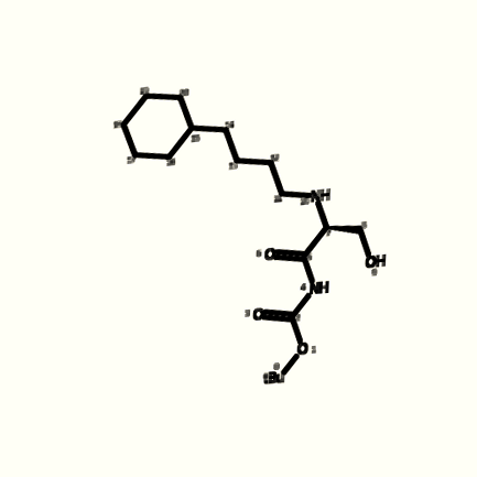 CC(C)(C)OC(=O)NC(=O)[C@H](CO)NCCCCC1CCCCC1